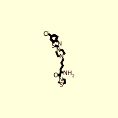 NC(CCCCN1CCN(c2nc3ccc(Cl)cc3s2)CC1)C(=O)N1CCSC1